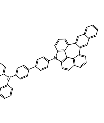 c1ccc(N(c2ccccc2)c2ccc(-c3ccc(-n4c5cccc6c5c5c7c(cccc7ccc54)-c4cc5ccccc5cc4-6)cc3)cc2)cc1